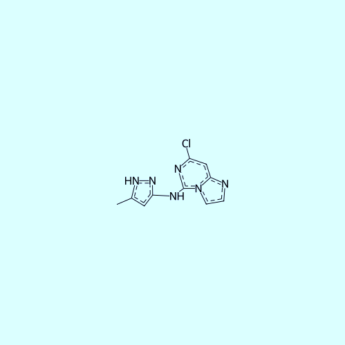 Cc1cc(Nc2nc(Cl)cc3nccn23)n[nH]1